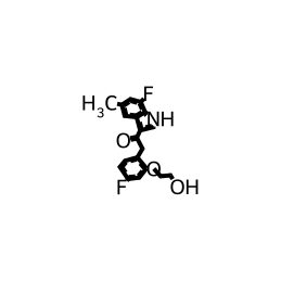 Cc1cc(F)c2[nH]cc(C(=O)Cc3ccc(F)cc3OCCO)c2c1